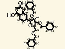 C[C@](OCc1ccccc1)(C(O)c1ccc2c(O)nc(O)nc2c1)[C@@H](CCOCc1ccccc1)OCc1ccccc1